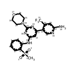 CS(=O)(=O)c1ccccc1Nc1cc(-c2cnc(N)cc2C(F)(F)F)nc(N2CCOCC2)n1